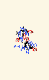 CN1C(=O)N(C)C2N=CN(C)C2(NCC=O)C1=O.Nc1cc(=O)[nH]c(=O)[nH]1